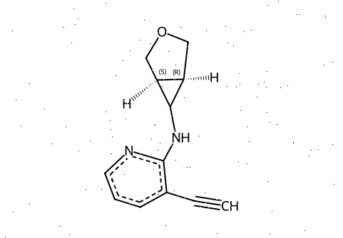 C#Cc1cccnc1NC1[C@H]2COC[C@@H]12